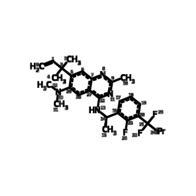 C=CC(C)(C)c1cc2nc(C)nc(N[C@H](C)c3cccc(C(F)(F)C(C)C)c3F)c2cc1N(C)C